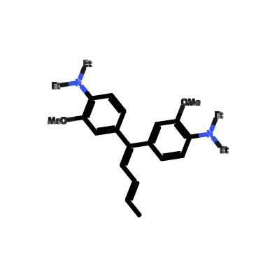 CC=CC=C(c1ccc(N(CC)CC)c(OC)c1)c1ccc(N(CC)CC)c(OC)c1